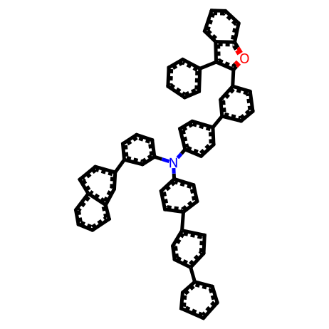 c1ccc(-c2ccc(-c3ccc(N(c4ccc(-c5cccc(-c6oc7ccccc7c6-c6ccccc6)c5)cc4)c4cccc(-c5ccc6ccccc6c5)c4)cc3)cc2)cc1